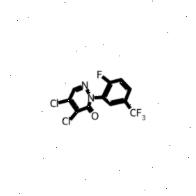 O=c1c(Cl)c(Cl)cnn1-c1cc(C(F)(F)F)ccc1F